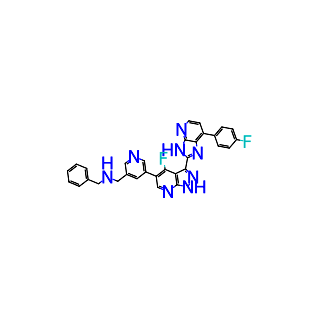 Fc1ccc(-c2ccnc3[nH]c(-c4n[nH]c5ncc(-c6cncc(CNCc7ccccc7)c6)c(F)c45)nc23)cc1